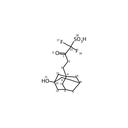 O=C(CCC12CC3CC(CC(O)(C3)C1)C2)C(F)(F)S(=O)(=O)O